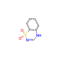 O=S1(=O)N=CNc2cc[c]cc21